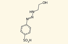 O=S(=O)(O)c1ccc(N=NNCCO)cc1